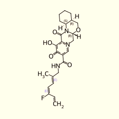 C=C/C(F)=C\C=C(/C)CNC(=O)c1cn2c(c(O)c1=O)C(=O)N1[C@@H](C2)OC[C@@H]2CCCC[C@@H]21